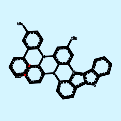 CC(C)(C)c1ccc(N2c3cc(C(C)(C)C)ccc3B3c4c2cc(C(C)(C)C)cc4-n2c4c3cccc4c3sc4ccccc4c32)c(-c2ccccc2)c1